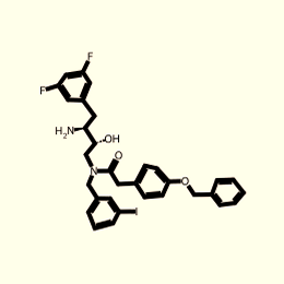 N[C@@H](Cc1cc(F)cc(F)c1)[C@H](O)CN(Cc1cccc(I)c1)C(=O)Cc1ccc(OCc2ccccc2)cc1